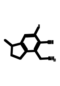 CC1CCc2c1cc(I)c(O)c2CN